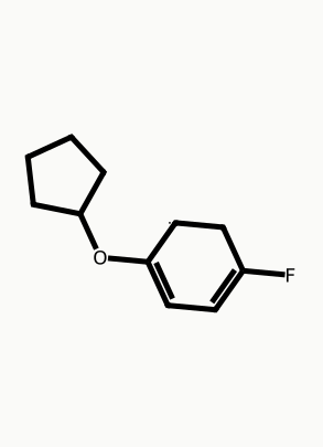 FC1=CC=C(OC2CCCC2)[CH]C1